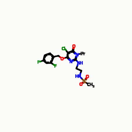 CC(C)n1c(NCCNS(C)(=O)=O)nc(OCc2ccc(F)cc2F)c(Cl)c1=O